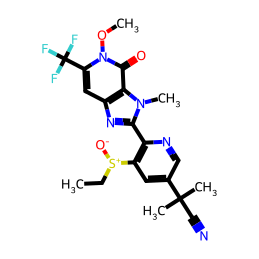 CC[S+]([O-])c1cc(C(C)(C)C#N)cnc1-c1nc2cc(C(F)(F)F)n(OC)c(=O)c2n1C